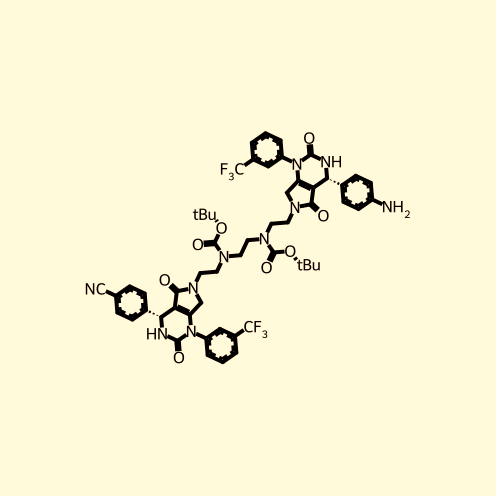 CC(C)(C)OC(=O)N(CCN(CCN1CC2=C(C1=O)[C@@H](c1ccc(C#N)cc1)NC(=O)N2c1cccc(C(F)(F)F)c1)C(=O)OC(C)(C)C)CCN1CC2=C(C1=O)[C@@H](c1ccc(N)cc1)NC(=O)N2c1cccc(C(F)(F)F)c1